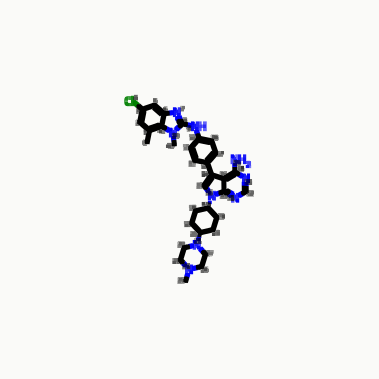 Cc1cc(Cl)cc2nc(Nc3ccc(-c4cn([C@H]5CC[C@H](N6CCN(C)CC6)CC5)c5ncnc(N)c45)cc3)n(C)c12